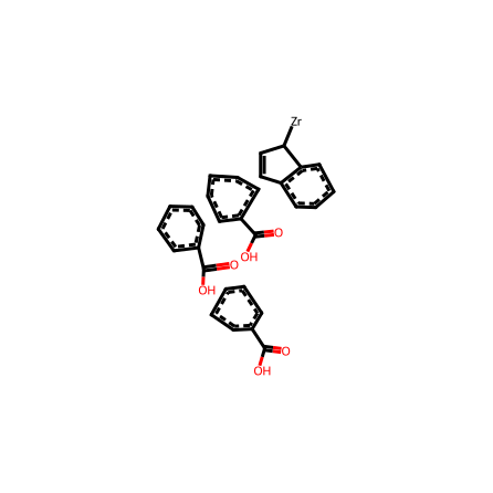 O=C(O)c1ccccc1.O=C(O)c1ccccc1.O=C(O)c1ccccc1.[Zr][CH]1C=Cc2ccccc21